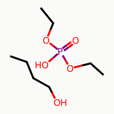 CCCCO.CCOP(=O)(O)OCC